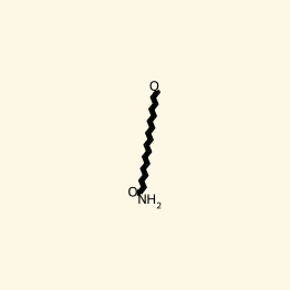 NC(=O)CCCCCCCCCCCCCCCCC=O